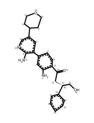 Nc1cc(-c2cc(C3CCOCC3)cnc2N)ccc1C(=O)C[C@H](CO)c1ccccc1